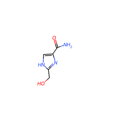 NC(=O)c1c[nH]c(CO)n1